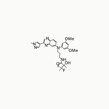 COc1cc(OC)cc(N(CCCNC(=O)C(C)(O)C(C)(F)F)c2ccc3ncc(-c4cnn(C)c4)nc3c2)c1